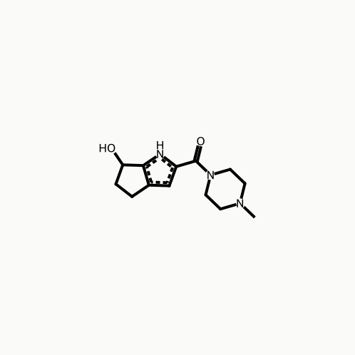 CN1CCN(C(=O)c2cc3c([nH]2)C(O)CC3)CC1